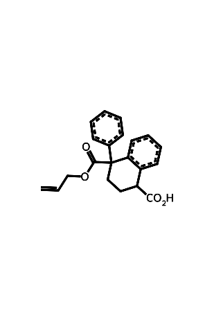 C=CCOC(=O)C1(c2ccccc2)CCC(C(=O)O)c2ccccc21